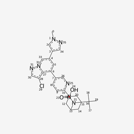 Cn1cc(-c2cc(-c3ccc(N4CC5CC(C(C)(C)C)(C4)N5C(=O)O)nc3)c3c(Cl)cnn3c2)cn1